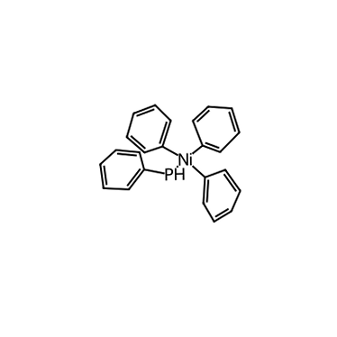 c1ccc([PH][Ni]([c]2ccccc2)([c]2ccccc2)[c]2ccccc2)cc1